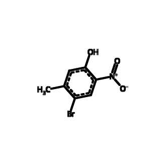 Cc1cc(O)c([N+](=O)[O-])cc1Br